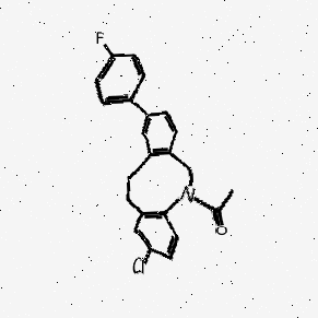 CC(=O)N1Cc2ccc(-c3ccc(F)cc3)cc2CCc2cc(Cl)ccc21